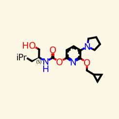 CC(C)C[C@@H](CO)NC(=O)Oc1ccc(N2CCCC2)c(OCC2CC2)n1